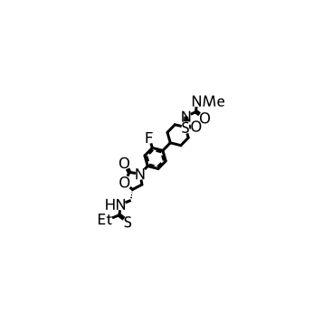 CCC(=S)NC[C@H]1CN(c2ccc(C3CCS(=O)(=NC(=O)NC)CC3)c(F)c2)C(=O)O1